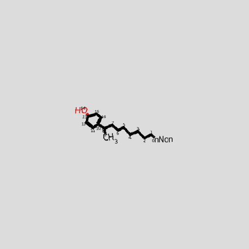 CCCCCCCCCCCCCCCCC(C)c1ccc(O)cc1